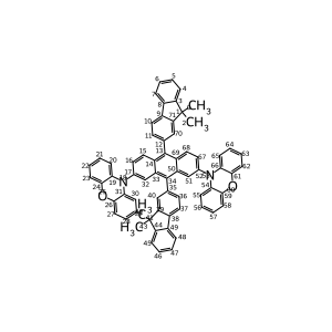 CC1(C)c2ccccc2-c2ccc(-c3c4ccc(N5c6ccccc6Oc6ccccc65)cc4c(-c4ccc5c(c4)C(C)(C)c4ccccc4-5)c4cc(N5c6ccccc6Oc6ccccc65)ccc34)cc21